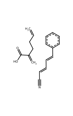 C=CCCC(=C)C(=O)O.N#CC=CC=Cc1ccccc1